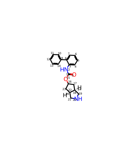 O=C(Nc1ccccc1-c1ccccc1)OC1C[C@H]2CNC[C@H]2C1